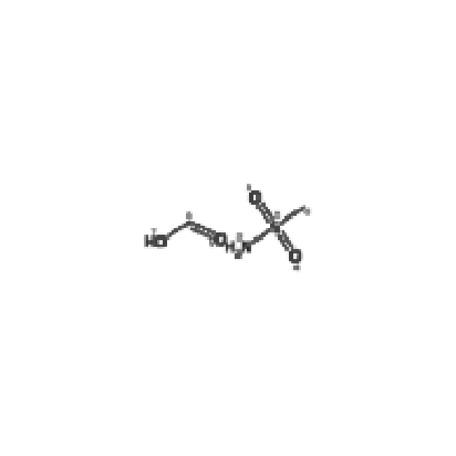 CS(N)(=O)=O.O=CO